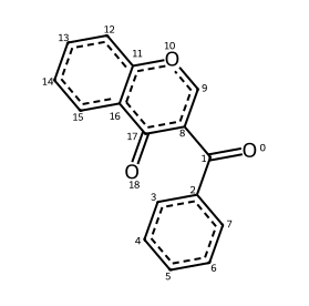 O=C(c1ccccc1)c1coc2ccccc2c1=O